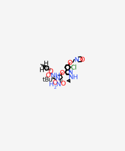 C[C@H]1[C@H]2C[C@@H](OC(=O)N[C@H](C(=O)N3CC(Oc4cc(NC5CC5)nc5c(Cl)c(OCCN6CCOCC6)ccc45)C[C@H]3C(N)=O)C(C)(C)C)C[C@@H]12